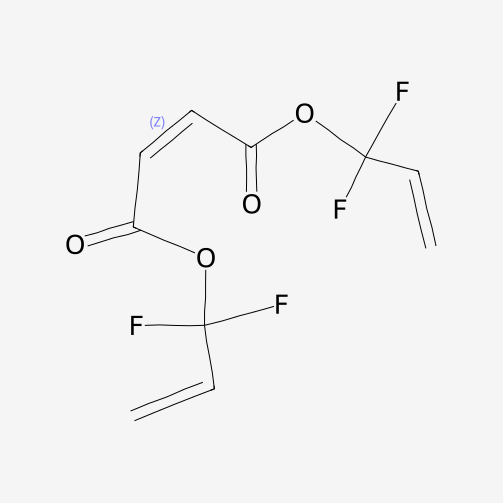 C=CC(F)(F)OC(=O)/C=C\C(=O)OC(F)(F)C=C